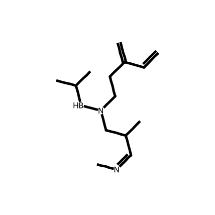 C=CC(=C)CCN(BC(C)C)CC(C)/C=N\C